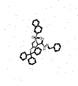 O=C(NN=Cc1ccccc1)C1CC(SC(c2ccccc2)(c2ccccc2)c2ccccc2)CN1S(=O)(=O)c1ccc2ccccc2c1